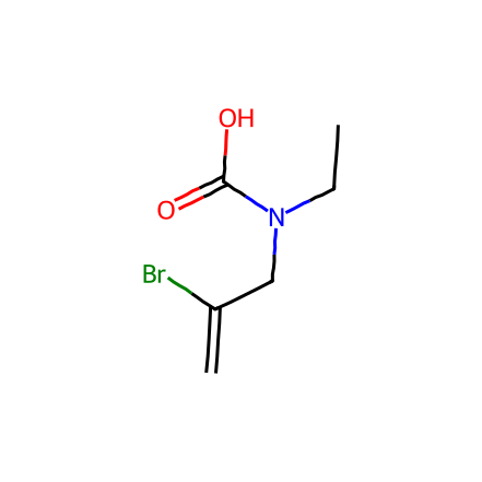 C=C(Br)CN(CC)C(=O)O